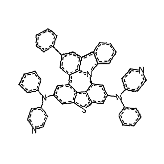 c1ccc(-c2cc3c4cc(N(c5ccccc5)c5ccncc5)cc5sc6cc(N(c7ccccc7)c7ccncc7)cc(c6c54)n4c5ccccc5c(c2)c34)cc1